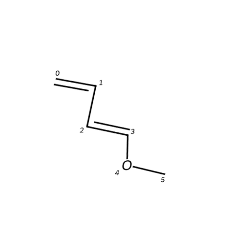 C=CC=COC